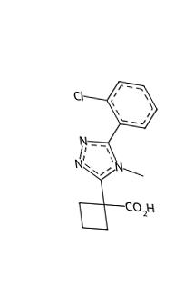 Cn1c(-c2ccccc2Cl)nnc1C1(C(=O)O)CCC1